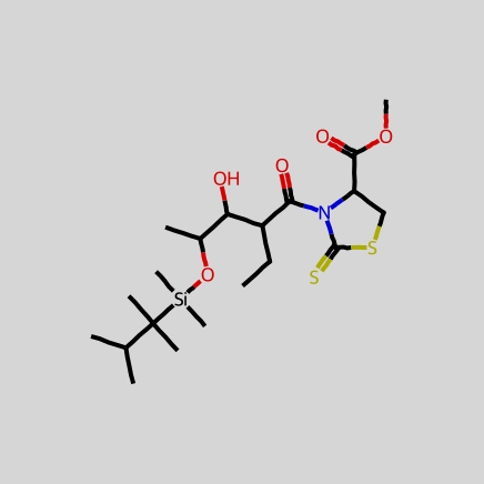 CCC(C(=O)N1C(=S)SCC1C(=O)OC)C(O)C(C)O[Si](C)(C)C(C)(C)C(C)C